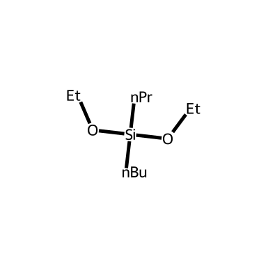 CCCC[Si](CCC)(OCC)OCC